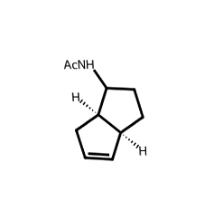 CC(=O)NC1CC[C@H]2C=CC[C@@H]12